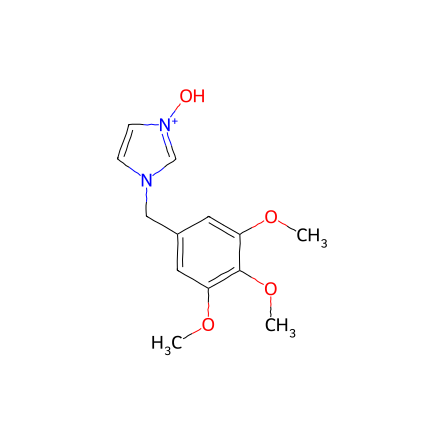 COc1cc(Cn2cc[n+](O)c2)cc(OC)c1OC